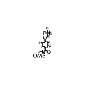 CON(C)C(=O)c1cc(C)c(OCC(C)(F)F)cn1